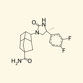 C[C@]1(c2ccc(F)c(F)c2)CN(C2C3CC4CC2CC(C(N)=O)(C4)C3)C(=O)N1